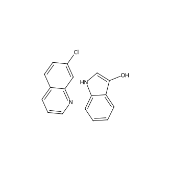 Clc1ccc2cccnc2c1.Oc1c[nH]c2ccccc12